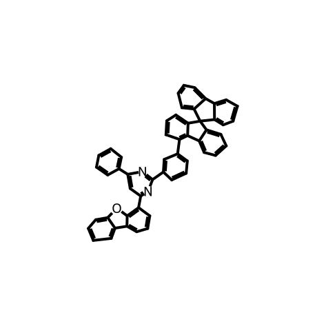 c1ccc(-c2cc(-c3cccc4c3oc3ccccc34)nc(-c3cccc(-c4cccc5c4-c4ccccc4C54c5ccccc5-c5ccccc54)c3)n2)cc1